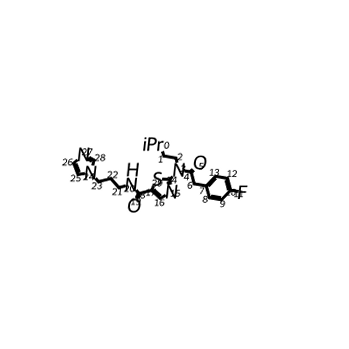 CC(C)CCN(C(=O)Cc1ccc(F)cc1)c1ncc(C(=O)NCCCn2ccnc2)s1